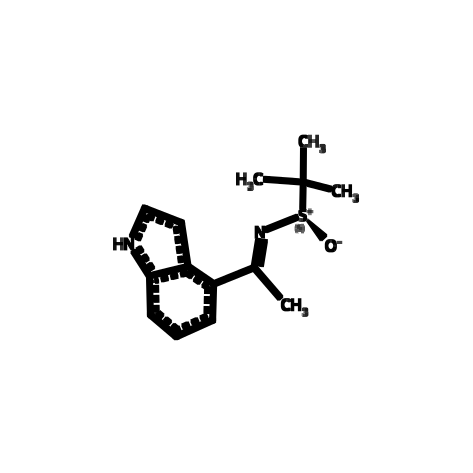 CC(=N[S@+]([O-])C(C)(C)C)c1cccc2[nH]ccc12